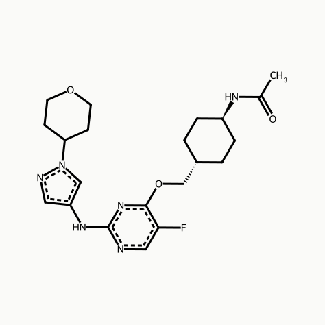 CC(=O)N[C@H]1CC[C@H](COc2nc(Nc3cnn(C4CCOCC4)c3)ncc2F)CC1